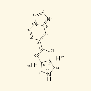 C1=C(c2ccn3ccnc3c2)C[C@H]2CNC[C@@H]12